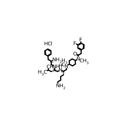 CC(C)C[C@H](CN[C@H](CCCCN)CN(C)C1CCC(N(C)C(=O)Cc2ccc(F)c(F)c2)CC1)NC[C@H](N)Cc1ccccc1.Cl